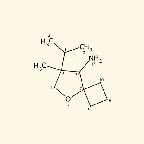 CC(C)C1(C)COC2(CCC2)C1N